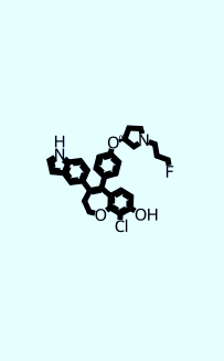 Oc1ccc2c(c1Cl)OCCC(c1ccc3[nH]ccc3c1)=C2c1ccc(O[C@H]2CCN(CCCF)C2)cc1